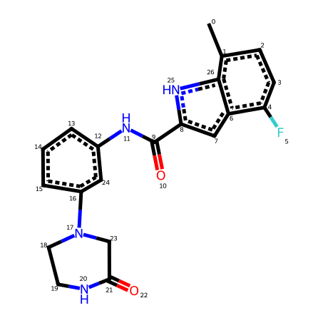 Cc1ccc(F)c2cc(C(=O)Nc3cccc(N4CCNC(=O)C4)c3)[nH]c12